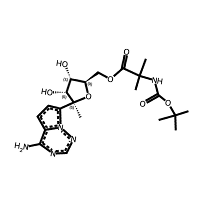 CC(C)(C)OC(=O)NC(C)(C)C(=O)OC[C@H]1O[C@@](C)(c2ccc3c(N)ncnn23)[C@H](O)[C@@H]1O